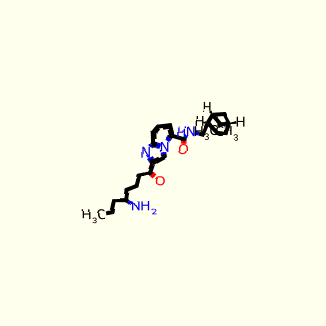 CCCC(N)CCCC(=O)c1cn2c(C(=O)NC[C@@H]3CC[C@H]4C[C@@H]3C4(C)C)cccc2n1